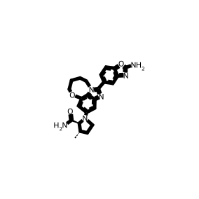 C[C@H]1CCN(c2cc3c4c(c2)nc(-c2ccc5oc(N)nc5c2)n4CCCCO3)[C@@H]1C(N)=O